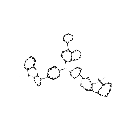 CC1(C)c2ccccc2-c2ccc(-c3ccc(N(c4ccc(-c5cccc6c5Oc5ccccc5C6(C)C)cc4)c4ccc(-c5ccccc5)c5ccccc45)cc3)cc21